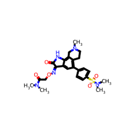 CN1CCc2c(-c3ccc(S(=O)(=O)N(C)C)cc3)cc3c(c2C1)NC(=O)C3=NOCC(=O)N(C)C